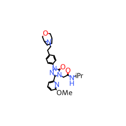 COc1cccc(-c2nn(-c3ccc(CCN4C5CCC4COC5)cc3)c(=O)n2CC(=O)NC(C)C)n1